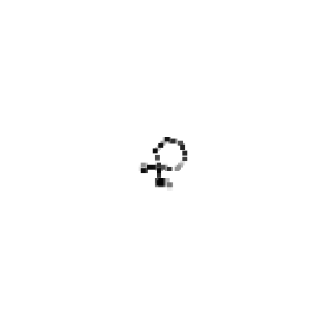 N[N+]1([O-])CCCCC1